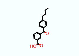 CCCCc1ccc(C(=O)c2cccc(C(=O)O)c2)cc1